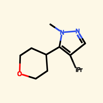 CC(C)c1cnn(C)c1C1CCOCC1